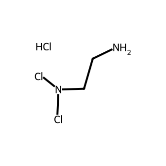 Cl.NCCN(Cl)Cl